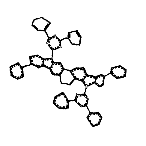 C1=CCCC(c2nc(C3=CCCC=C3)nc(-n3c4ccc(-c5ccccc5)cc4c4cc5c(cc43)-c3ccc4c6cc(-c7ccccc7)ccc6n(-c6nc(-c7ccccc7)nc(-c7ccccc7)n6)c4c3CC5)n2)=C1